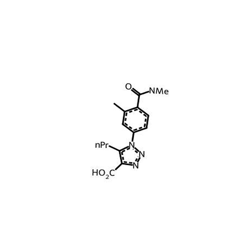 CCCc1c(C(=O)O)nnn1-c1ccc(C(=O)NC)c(C)c1